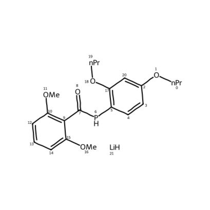 CCCOc1ccc(PC(=O)c2c(OC)cccc2OC)c(OCCC)c1.[LiH]